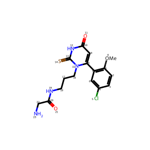 COc1ccc(Cl)cc1-c1cc(=O)[nH]c(=S)n1CCCNC(=O)CN